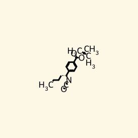 CCCC[C@@H](N=C=O)c1ccc(C(=O)OC(C)(C)C)cc1